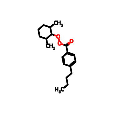 CCCCc1ccc(C(=O)OO[C]2C(C)CCCC2C)cc1